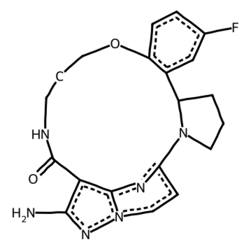 Nc1nn2ccc3nc2c1C(=O)NCCCOc1ccc(F)cc1C1CCCN31